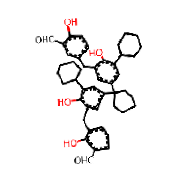 O=Cc1cc(Cc2cc(C3(c4cc(Cc5cccc(C=O)c5O)c(O)c(C5CCCCC5)c4)CCCCC3)cc(C3CCCCC3)c2O)ccc1O